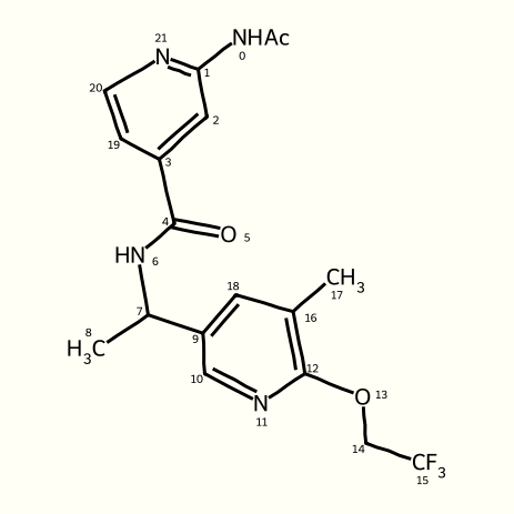 CC(=O)Nc1cc(C(=O)NC(C)c2cnc(OCC(F)(F)F)c(C)c2)ccn1